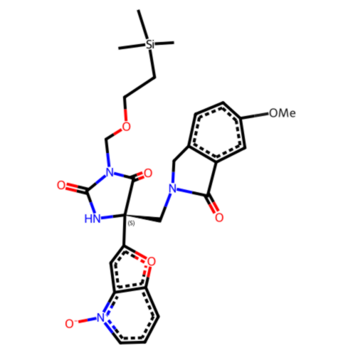 COc1ccc2c(c1)C(=O)N(C[C@@]1(c3cc4c(ccc[n+]4[O-])o3)NC(=O)N(COCC[Si](C)(C)C)C1=O)C2